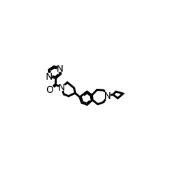 O=C(c1cnccn1)N1CCC(c2ccc3c(c2)CCN(C2CCC2)CC3)CC1